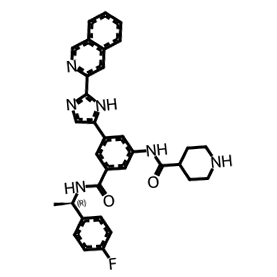 C[C@@H](NC(=O)c1cc(NC(=O)C2CCNCC2)cc(-c2cnc(-c3cc4ccccc4cn3)[nH]2)c1)c1ccc(F)cc1